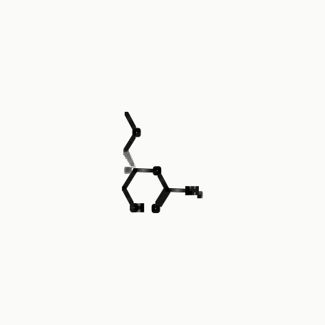 COC[C@@H](CO)OC(N)=O